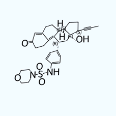 CC#C[C@]1(O)CC[C@H]2[C@@H]3CCC4=CC(=O)CCC4=C3[C@@H](c3ccc(NS(=O)(=O)N4CCOCC4)cc3)C[C@@]21C